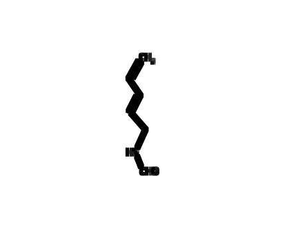 C=CC=CCNC=O